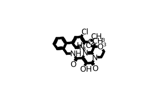 COc1ncc(-c2ccccc2CNC(=O)c2nc3n(c(=O)c2O)CCOC3(C)C)cc1Cl